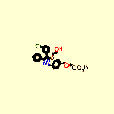 O=C(O)COC[C@H]1CC[C@@H](Cn2nc(-c3ccccc3)c(-c3cccc(Cl)c3)c2SCCO)CC1